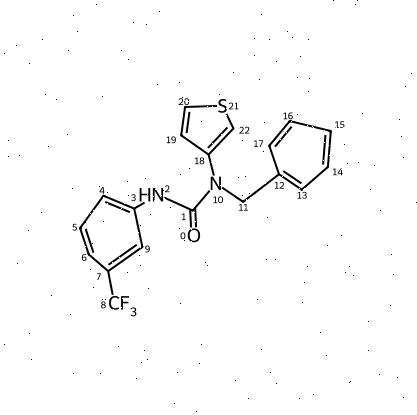 O=C(Nc1cccc(C(F)(F)F)c1)N(Cc1ccccc1)c1ccsc1